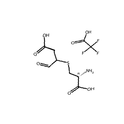 N[C@@H](CSC(C=O)CC(=O)O)C(=O)O.O=C(O)C(F)(F)F